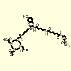 NS(=O)(=O)c1nnc(NC(=O)CCCCC(=O)NCCCCC(=O)N[C@@H](Cc2ccc(O)cc2)C(=O)NCCCCNC(=O)CN2CCN(CC(=O)O)CCN(CC(=O)O)CCN(CC(=O)O)CC2)s1